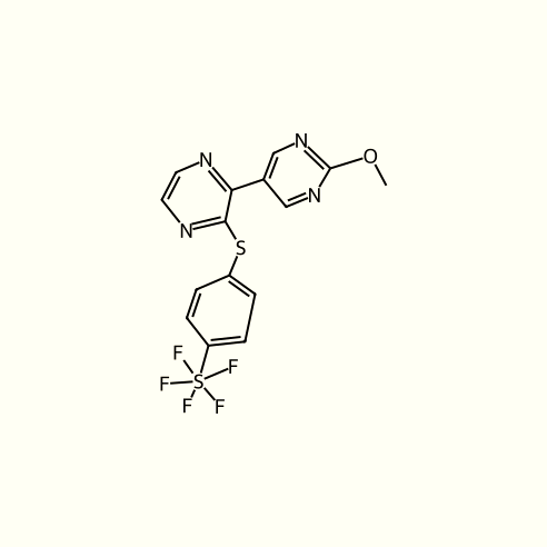 COc1ncc(-c2nccnc2Sc2ccc(S(F)(F)(F)(F)F)cc2)cn1